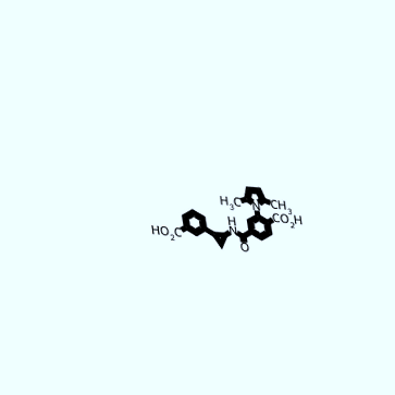 Cc1ccc(C)n1-c1cc(C(=O)NC2CC2c2cccc(C(=O)O)c2)ccc1C(=O)O